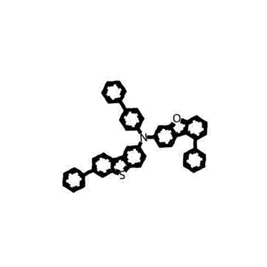 c1ccc(-c2ccc(N(c3ccc4c(c3)oc3cccc(-c5ccccc5)c34)c3ccc4sc5cc(-c6ccccc6)ccc5c4c3)cc2)cc1